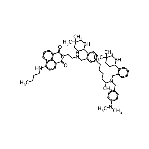 CCCCNc1ccc2c3c(cccc13)C(=O)N(CCNCc1cc(CCCCC(C)N(Cc3ccc(N(C)C)cc3)Cc3ccccc3C3BCC(C)(C)CC3)ccc1C1BCC(C)(C)CC1)C2=O